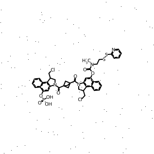 CN(CCSSc1ccccn1)C(=O)Oc1cc2c(c3ccccc13)C(CCl)CN2C(=O)C12CC(C(=O)N3CC(CCl)c4c3cc(OP(=O)(O)O)c3ccccc43)(C1)C2